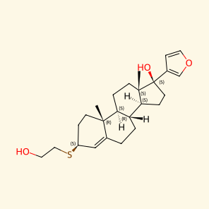 C[C@]12CC[C@H](SCCO)C=C1CC[C@@H]1[C@@H]2CC[C@@]2(C)[C@H]1CC[C@@]2(O)c1ccoc1